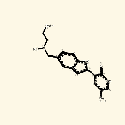 COCCN(C)Cc1ccc2[nH]c(-c3cc(N)c[nH]c3=O)cc2c1